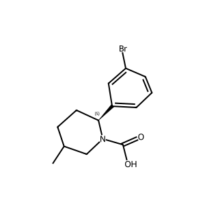 CC1CC[C@@H](c2cccc(Br)c2)N(C(=O)O)C1